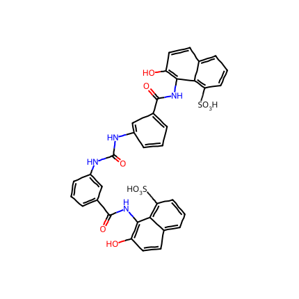 O=C(Nc1cccc(C(=O)Nc2c(O)ccc3cccc(S(=O)(=O)O)c23)c1)Nc1cccc(C(=O)Nc2c(O)ccc3cccc(S(=O)(=O)O)c23)c1